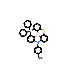 CC(C)(C)c1ccc(N2c3cccc4c3B3c5c(cccc5[Si](c5ccccc5)(c5ccccc5)c5cccc2c53)S4)cc1